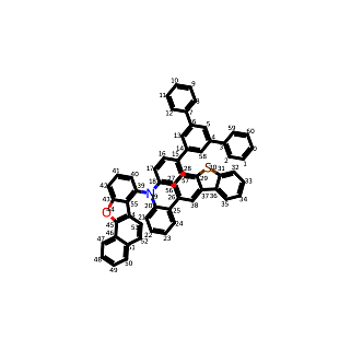 c1ccc(-c2cc(-c3ccccc3)cc(-c3ccc(N(c4ccccc4-c4ccc5sc6ccccc6c5c4)c4cccc5oc6c7ccccc7ccc6c45)cc3)c2)cc1